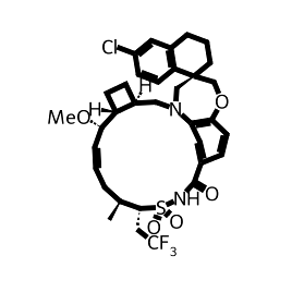 CO[C@H]1/C=C\C[C@H](C)[C@@H](CC(F)(F)F)S(=O)(=O)NC(=O)c2ccc3c(c2)N(C[C@@H]2CC[C@H]21)C[C@@]1(CCCc2cc(Cl)ccc21)CO3